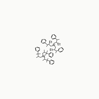 CC([CH2][Al]([CH2]C(C)C(C)(C)c1ccccc1)[CH2]C(C)C(C)(C)c1ccccc1)C(C)(C)c1ccccc1.CCC([CH2][Al]([CH2]C(CC)C(C)c1ccccc1)[CH2]C(CC)C(C)c1ccccc1)C(C)c1ccccc1